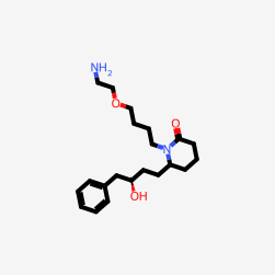 NCCOCCCCN1C(=O)CCCC1CC[C@@H](O)Cc1ccccc1